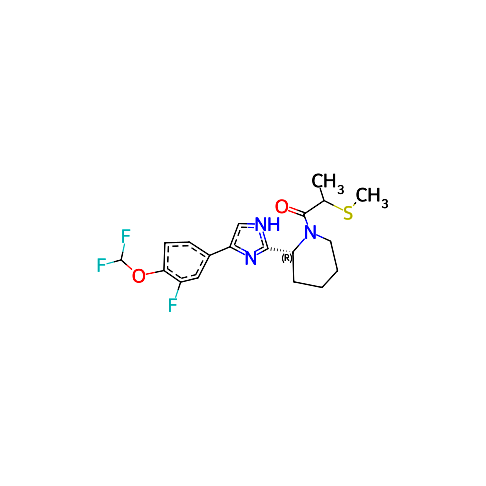 CSC(C)C(=O)N1CCCC[C@@H]1c1nc(-c2ccc(OC(F)F)c(F)c2)c[nH]1